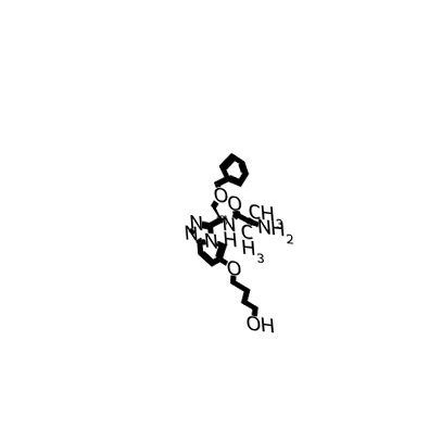 CC(C)(N)C(=O)N[C@H](COCc1ccccc1)c1nnc2ccc(OCCCCO)cn12